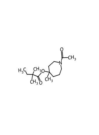 CCC(C)(C)C(=O)OC1(C)CCCN(C(C)=O)CC1